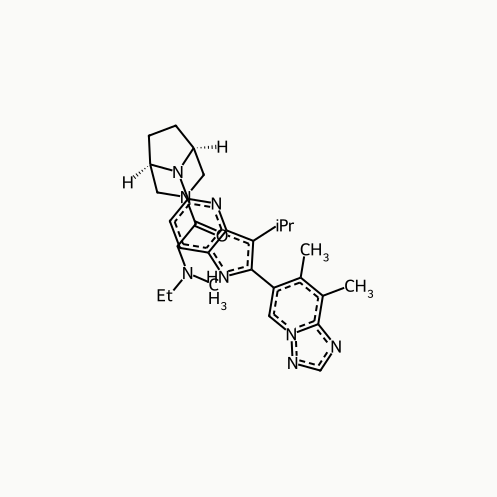 CCN(C)CC(=O)N1C[C@H]2CC[C@@H](C1)N2c1ccc2[nH]c(-c3cn4ncnc4c(C)c3C)c(C(C)C)c2n1